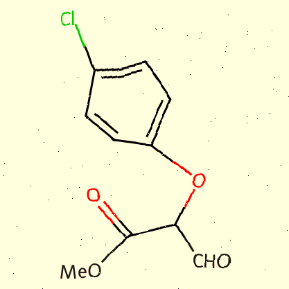 COC(=O)C(C=O)Oc1ccc(Cl)cc1